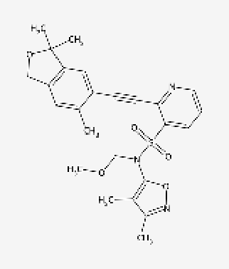 COCN(c1onc(C)c1C)S(=O)(=O)c1cccnc1C#Cc1cc2c(cc1C)COC2(C)C